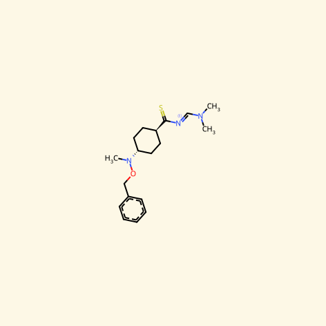 CN(C)/C=N/C(=S)[C@H]1CC[C@H](N(C)OCc2ccccc2)CC1